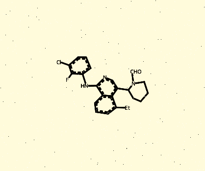 CCc1cccc2c(Nc3cccc(Cl)c3F)ncc(C3CCCCN3C=O)c12